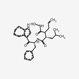 C=CCC(C(=O)NO)[C@@H](CC(C)C)C(=O)N[C@@H](Cc1ccccc1)C(=O)c1c[nH]c2ccccc12